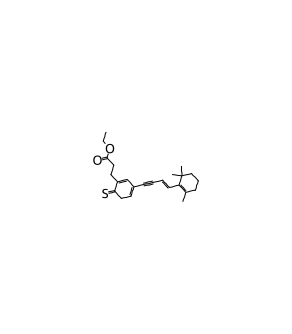 CCOC(=O)CCC1=CC(C#CC=CC2=C(C)CCCC2(C)C)=CCC1=S